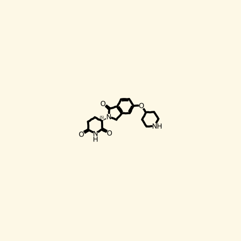 O=C1CC[C@H](N2Cc3cc(OC4CCNCC4)ccc3C2=O)C(=O)N1